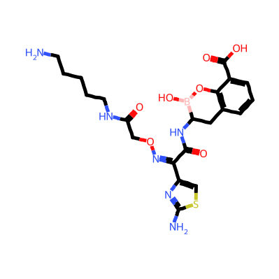 NCCCCCNC(=O)CON=C(C(=O)NC1Cc2cccc(C(=O)O)c2OB1O)c1csc(N)n1